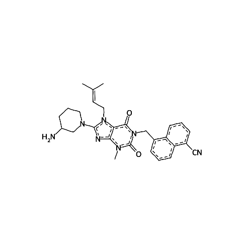 CC(C)=CCn1c(N2CCCC(N)C2)nc2c1c(=O)n(Cc1cccc3c(C#N)cccc13)c(=O)n2C